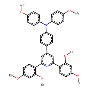 CCCOc1ccc(N(c2ccc(OCCC)cc2)c2ccc(-c3cc(-c4ccc(OCC)cc4OCC)nc(-c4ccc(OCC)cc4OCC)c3)cc2)cc1